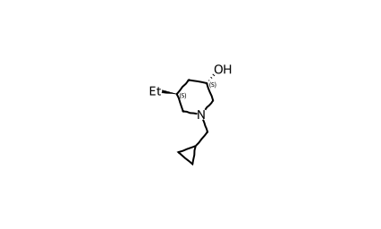 CC[C@H]1C[C@H](O)CN(CC2CC2)C1